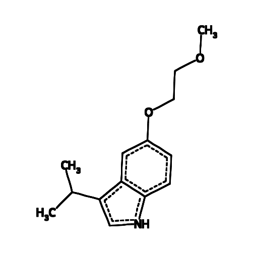 COCCOc1ccc2[nH]cc(C(C)C)c2c1